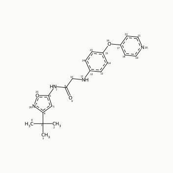 CC(C)(C)c1cc(NC(=O)CNc2ccc(Oc3ccncc3)cc2)on1